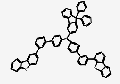 c1ccc(C2(c3ccccc3)c3ccccc3-c3cc(N(c4ccc(-c5cccc(-c6ccc7oc8ccccc8c7c6)c5)cc4)c4ccc(-c5cccc(-c6cccc7c6sc6ccccc67)c5)cc4)ccc32)cc1